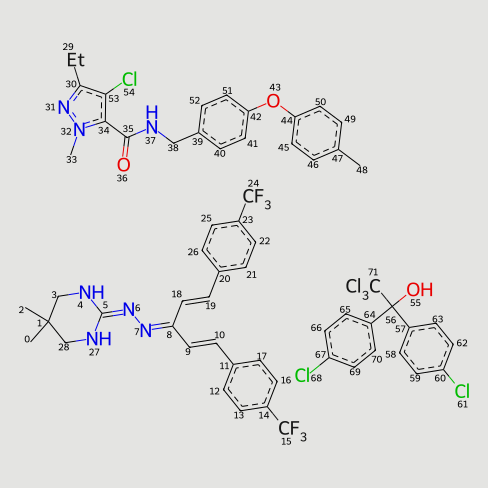 CC1(C)CNC(=NN=C(/C=C/c2ccc(C(F)(F)F)cc2)/C=C/c2ccc(C(F)(F)F)cc2)NC1.CCc1nn(C)c(C(=O)NCc2ccc(Oc3ccc(C)cc3)cc2)c1Cl.OC(c1ccc(Cl)cc1)(c1ccc(Cl)cc1)C(Cl)(Cl)Cl